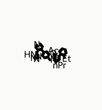 CCCc1cn(-c2c(CC)cccc2C(C)=O)c(=O)n1Cc1ccc(-c2ccncc2-c2nnn[nH]2)cc1